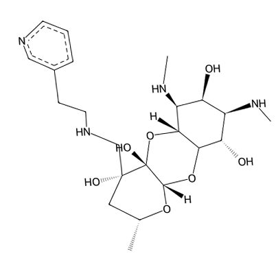 CN[C@@H]1[C@H](O)[C@H](NC)[C@H]2O[C@]3(O)[C@H](OC2[C@H]1O)O[C@H](C)C[C@@]3(O)CNCCc1cccnc1